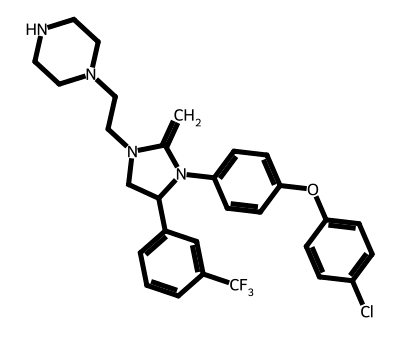 C=C1N(CCN2CCNCC2)CC(c2cccc(C(F)(F)F)c2)N1c1ccc(Oc2ccc(Cl)cc2)cc1